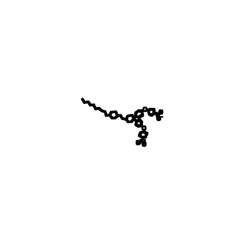 CCCCCCCCCCC1CCC(CCC2CCC(c3ccc(Oc4ccc([N+](=O)[O-])cc4)cc3)(c3ccc(Oc4ccc([N+](=O)[O-])cc4)cc3)CC2)CC1